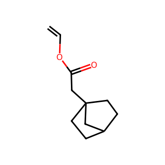 C=COC(=O)CC12CCC(CC1)C2